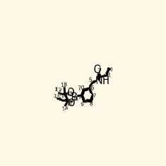 C=CC(=O)NCc1cccc(B2OC(C)(C)C(C)(C)O2)c1